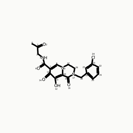 CC(=O)CNC(=O)c1cn2c(c(O)c1=O)C(=O)N(Cc1cccc(Cl)c1)CC2